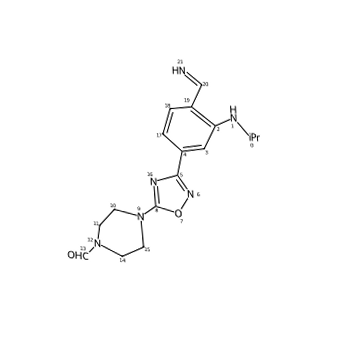 CC(C)Nc1cc(-c2noc(N3CCN(C=O)CC3)n2)ccc1C=N